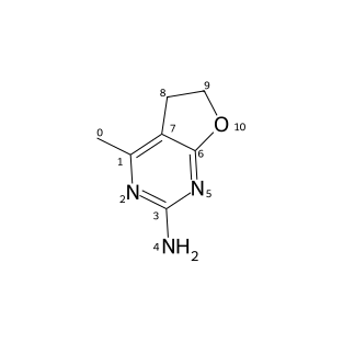 Cc1nc(N)nc2c1CCO2